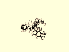 C=CC[C@H]1Cc2cc(Cl)c(Br)cc2[C@@]1(NC(=O)OC(C)(C)C)C(=O)OCc1ccccc1